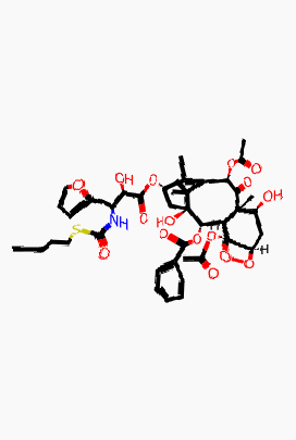 CCCCSC(=O)N[C@@H](c1ccco1)[C@@H](O)C(=O)O[C@H]1C[C@@]2(O)[C@@H](OC(=O)c3ccccc3)[C@@H]3[C@]4(OC(C)=O)OO[C@@H]4C[C@H](O)[C@@]3(C)C(=O)[C@H](OC(C)=O)C(=C1C)C2(C)C